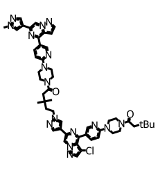 Cn1cc(-c2cn3nccc3c(-c3ccc(N4CCN(C(=O)CC(C)(C)CCn5cc(-c6cn7ncc(Cl)c7c(-c7ccc(N8CCN(C(=O)CC(C)(C)C)CC8)nc7)n6)cn5)CC4)nc3)n2)cn1